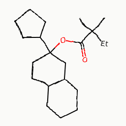 CCC(C)(C)C(=O)OC1(C2CCCC2)CCC2CCCCC2C1